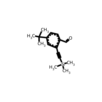 CC(C)(C)c1ccc(C=O)c(C#C[Si](C)(C)C)c1